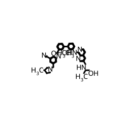 CCC(CO)NCc1cnc2c(Nc3cccc(-c4cccc(-c5nc6cc(CN7CCC(C)C7)cc(C#N)c6o5)c4C)c3C)nccc2c1